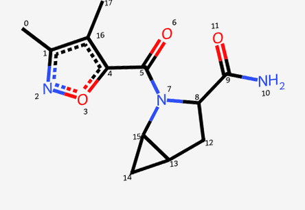 Cc1noc(C(=O)N2C(C(N)=O)CC3CC32)c1C